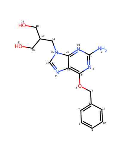 Nc1nc(OCc2ccccc2)c2ncn(CC(CO)CO)c2n1